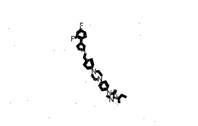 C=C1N(c2ccc(N3CCN(c4ccc(CC[C@@H]5CCC(c6ccc(F)cc6F)C5)cc4)CC3)cc2)C=NN1C(C)CC